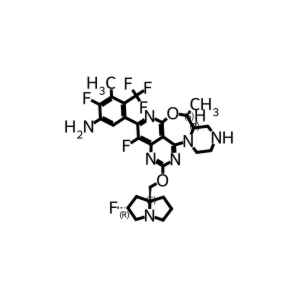 Cc1c(F)c(N)cc(-c2nc3c4c(nc(OC[C@@]56CCCN5C[C@H](F)C6)nc4c2F)N2CCNC[C@@H]2[C@H](C)O3)c1C(F)(F)F